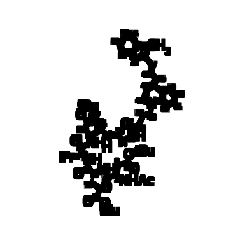 CC(=O)N[C@H](CC(=O)OC(C)(C)C)C(=O)N[C@H](CCC(=O)OC(C)(C)C)C(=O)N[C@@H](C(=O)N[C@H](CC(=O)OC(C)(C)C)C(=O)NCCNC(=O)CCCN1C=CC(=CC=Cc2sc3ccccc3[n+]2C)c2ccccc21)C(C)C